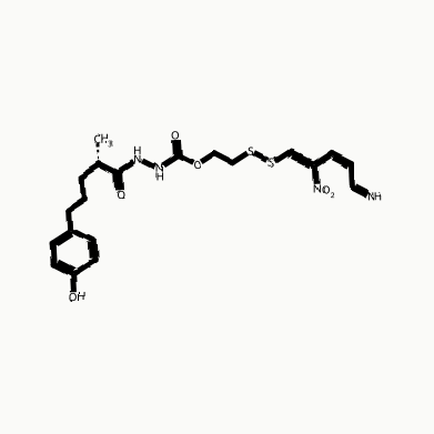 C[C@@H](CCCc1ccc(O)cc1)C(=O)NNC(=O)OCCSS/C=C(/C=C\C=N)[N+](=O)[O-]